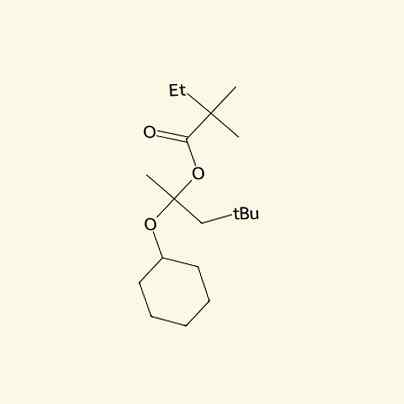 CCC(C)(C)C(=O)OC(C)(CC(C)(C)C)OC1CCCCC1